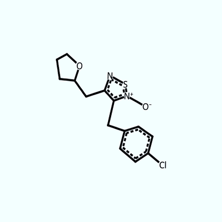 [O-][n+]1snc(CC2CCCO2)c1Cc1ccc(Cl)cc1